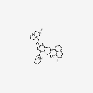 CCc1c(F)ccc2cccc(N3CCc4c(nc(OC[C@@]56CCCN5C[C@H](F)C6)nc4C4CC5CCC(C4)N5)C3)c12